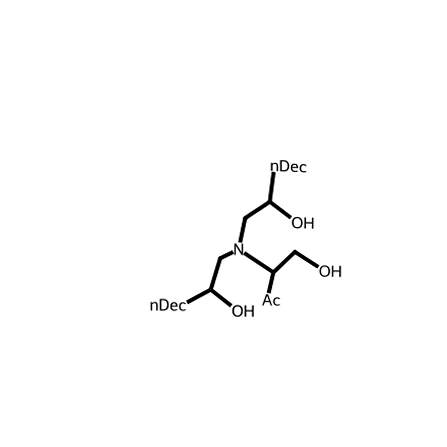 CCCCCCCCCCC(O)CN(CC(O)CCCCCCCCCC)C(CO)C(C)=O